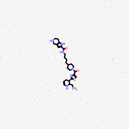 CCC1NC=CCC1c1nc(C(=O)N2CCC(CCCCNC(=O)c3cc4c([nH]3)CCNC4)CC2)cs1